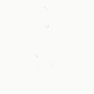 NC(CC(=O)N1CCCC1c1ccc(Cl)cc1)c1ccc(C(=O)Nc2ccncc2)cc1